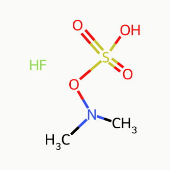 CN(C)OS(=O)(=O)O.F